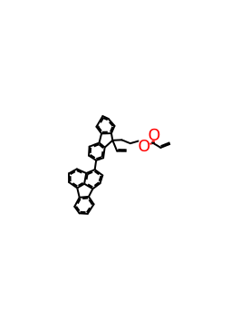 C=CC(=O)OCCCC1(C=C)c2ccccc2-c2ccc(-c3ccc4c5c(cccc35)-c3ccccc3-4)cc21